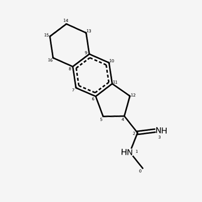 CNC(=N)C1Cc2cc3c(cc2C1)CCCC3